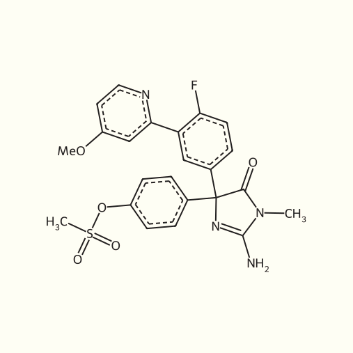 COc1ccnc(-c2cc(C3(c4ccc(OS(C)(=O)=O)cc4)N=C(N)N(C)C3=O)ccc2F)c1